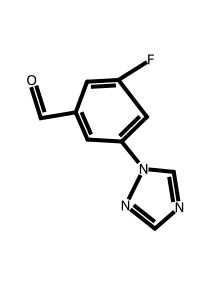 O=Cc1cc(F)cc(-n2cncn2)c1